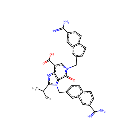 CC(C)c1nc2c(C(=O)O)cn(Cc3ccc4ccc(C(=N)N)cc4c3)c(=O)c2n1Cc1ccc2ccc(C(=N)N)cc2c1